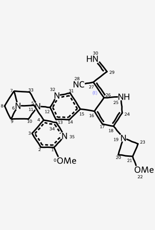 COc1ccc(CN2C3CC2CN(c2ccc(C4=CC(N5CC(OC)C5)=CN/C4=C(/C#N)C=N)cn2)C3)cn1